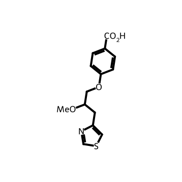 COC(COc1ccc(C(=O)O)cc1)Cc1cscn1